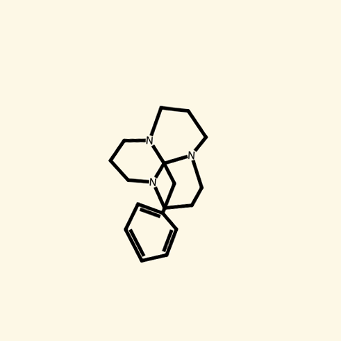 c1ccc(CC23N4CCCN2CCCN3CCC4)cc1